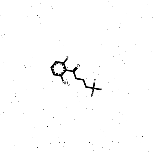 Nc1cccc(F)c1C(=O)CCCC(F)(F)F